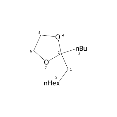 CCCCCCCC1(CCCC)OCCO1